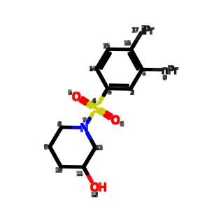 CCCc1cc(S(=O)(=O)N2CCCC(O)C2)ccc1C(C)C